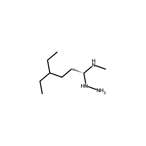 CCC(CC)CC[C@H](NC)NN